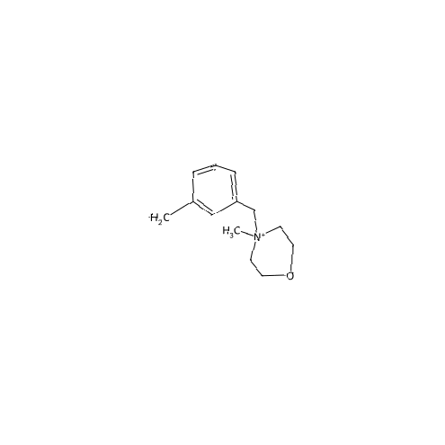 [CH2]c1cccc(C[N+]2(C)CCOCC2)c1